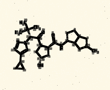 CN1CC2CCC(NC(=O)[C@H]3C[C@H](O)CN3C(=O)[C@H](n3cc(C4CC4)nn3)C(C)(C)C)C2C1